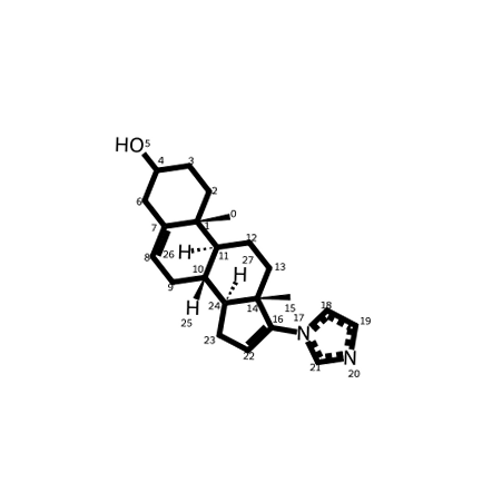 C[C@]12CCC(O)CC1=CC[C@@H]1[C@@H]2CC[C@]2(C)C(n3ccnc3)=CC[C@@H]12